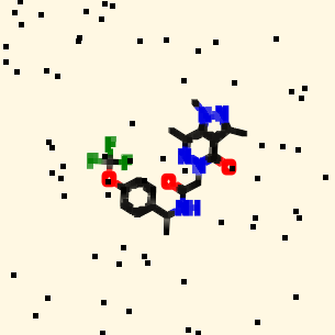 Cc1nn(C)c2c(C)nn(CC(=O)NC(C)c3ccc(OC(F)(F)F)cc3)c(=O)c12